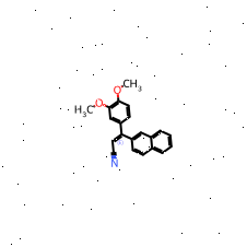 COc1ccc(/C(=C/C#N)c2ccc3ccccc3c2)cc1OC